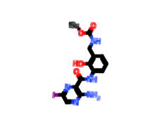 CC(C)(C)OC(=O)NCc1cccc(NC(=O)c2nc(I)cnc2N)c1O